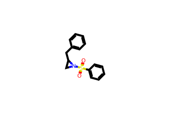 O=S(=O)(c1ccccc1)N1CC1Cc1ccccc1